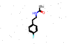 CC(C)(C)C(=O)NCCc1ccc(F)cc1